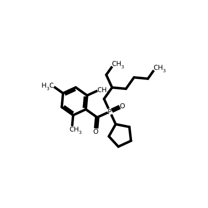 CCCCC(CC)CP(=O)(C(=O)c1c(C)cc(C)cc1C)C1CCCC1